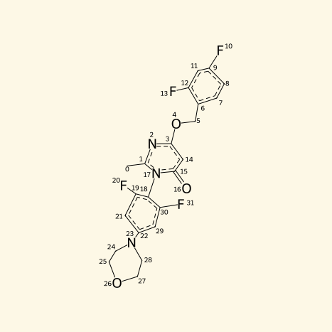 Cc1nc(OCc2ccc(F)cc2F)cc(=O)n1-c1c(F)cc(N2CCOCC2)cc1F